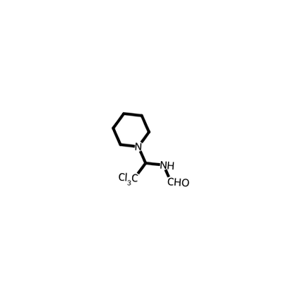 O=CNC(N1CCCCC1)C(Cl)(Cl)Cl